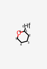 [Hf][CH]1CCCCO1